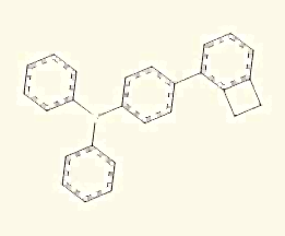 c1ccc(N(c2ccccc2)c2ccc(-c3cccc4c3CC4)cc2)cc1